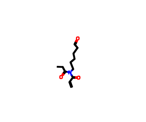 C=CC(=O)N(CCCCCC=O)C(=O)CC